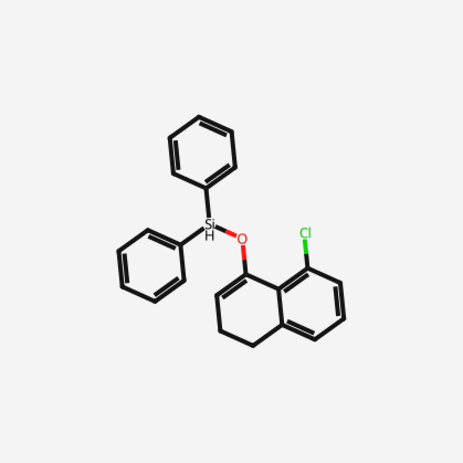 Clc1cccc2c1C(O[SiH](c1ccccc1)c1ccccc1)=CCC2